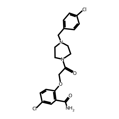 NC(=O)c1cc(Cl)ccc1OCC(=O)N1CCN(Cc2ccc(Cl)cc2)CC1